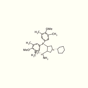 COc1c(C)cc(P(c2cc(C)c(OC)c(C)c2)C2C[C@H](C3CCCCC3)CC2[C@@H](C)N)cc1C